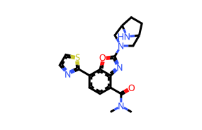 CN(C)C(=O)c1ccc(-c2nccs2)c2oc(N3CC4CCC(C3)N4)nc12